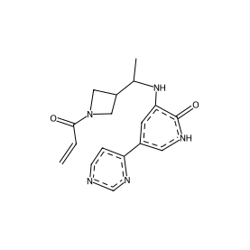 C=CC(=O)N1CC(C(C)Nc2cc(-c3ccncn3)c[nH]c2=O)C1